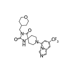 O=C1NC2(CCN(c3cc(C(F)(F)F)cc4cncn34)CC2)C(=O)N1CC1CCOCC1